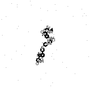 C[C@@H]1CN(c2ncc(Cl)c(Nc3ccc4c(c3)c3c(c(=O)n4C)OCC(F)(F)[C@H](C4CC4)N3)n2)CC[C@@H]1CN1CCC(c2cccc3c(C4CCC(=O)NC4=O)nn(C)c23)CC1